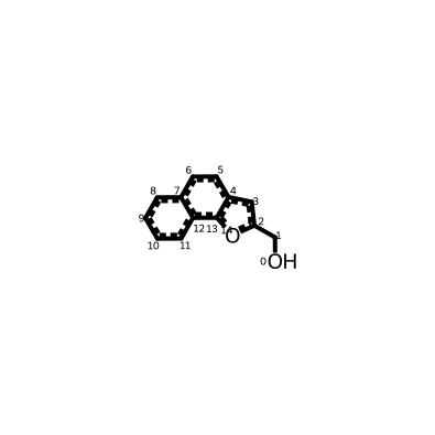 OCc1cc2ccc3ccccc3c2o1